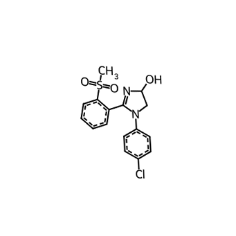 CS(=O)(=O)c1ccccc1C1=NC(O)CN1c1ccc(Cl)cc1